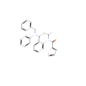 CC1CC(N(Cc2ccccc2)c2ccccc2)c2ccccc2N1C(=O)c1ccco1